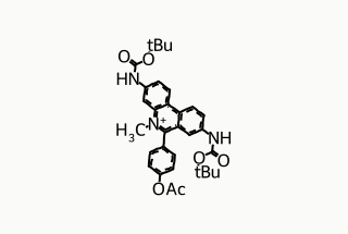 CC(=O)Oc1ccc(-c2c3cc(NC(=O)OC(C)(C)C)ccc3c3ccc(NC(=O)OC(C)(C)C)cc3[n+]2C)cc1